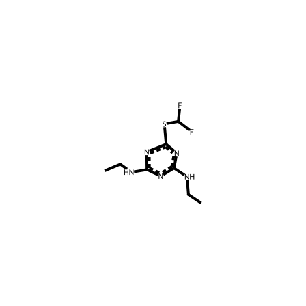 CCNc1nc(NCC)nc(SC(F)F)n1